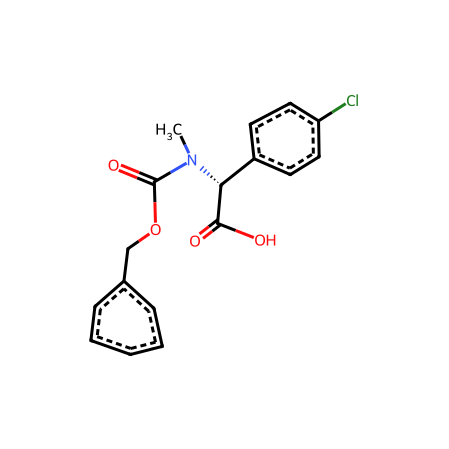 CN(C(=O)OCc1ccccc1)[C@@H](C(=O)O)c1ccc(Cl)cc1